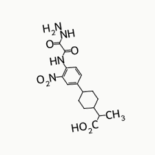 CC(C(=O)O)C1CCC(c2ccc(NC(=O)C(=O)NN)c([N+](=O)[O-])c2)CC1